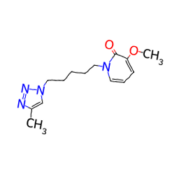 COc1cccn(CCCCCn2cc(C)nn2)c1=O